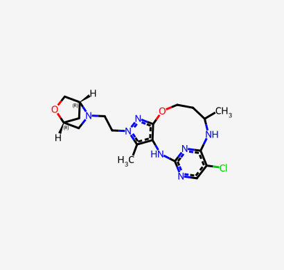 Cc1c2c(nn1CCN1C[C@H]3C[C@@H]1CO3)OCCC(C)Nc1nc(ncc1Cl)N2